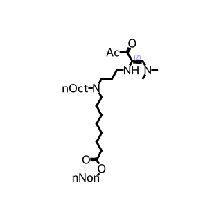 CCCCCCCCCOC(=O)CCCCCCCN(CCCCCCCC)CCCN/C(=C\N(C)C)C(=O)C(C)=O